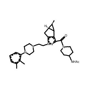 CC(=O)NC1CCN(C(=O)c2nn(CCN3CCN(c4cccc(C)c4C)CC3)c3c2C2[C@@H](C3)[C@H]2C)CC1